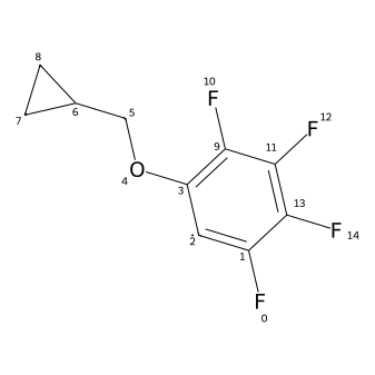 Fc1[c]c(OCC2CC2)c(F)c(F)c1F